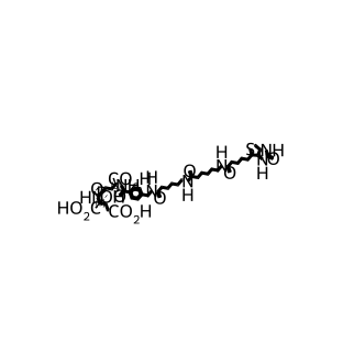 O=C(O)CC[C@H](NP(=O)(O)CC[C@H](NC(=O)c1ccc(CNC(=O)CCCCCNC(=O)CCCCCNC(=O)CCCCC2SCC3NC(=O)NC32)cc1)C(=O)O)C(=O)O